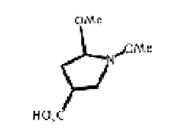 COC1CC(C(=O)O)CN1OC